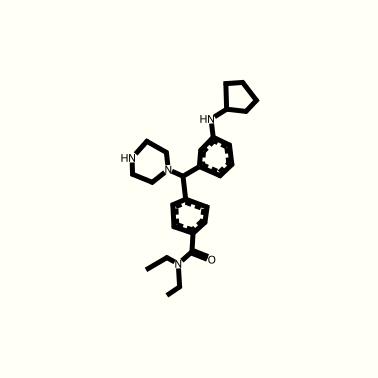 CCN(CC)C(=O)c1ccc(C(c2cccc(NC3CCCC3)c2)N2CCNCC2)cc1